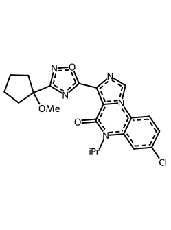 COC1(c2noc(-c3ncn4c3c(=O)n(C(C)C)c3cc(Cl)ccc34)n2)CCCC1